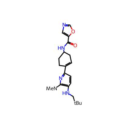 CNc1nc(C2=CCC(NC(=O)c3cnco3)CC2)ccc1NCC(C)(C)C